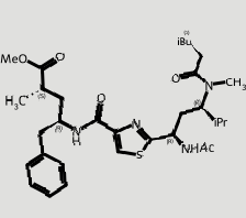 CC[C@H](C)CC(=O)N(C)[C@H](C[C@@H](NC(C)=O)c1nc(C(=O)N[C@@H](Cc2ccccc2)C[C@H](C)C(=O)OC)cs1)C(C)C